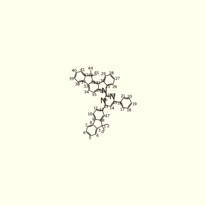 CC1(C)c2ccccc2-c2ccc(-c3cc(-c4ccccc4)nc(-n4c5ccccc5c5c6c(ccc54)-c4ccccc4C6(C)C)n3)cc21